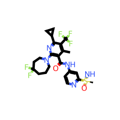 Cc1c(C(=O)Nc2ccnc([S@](C)(=N)=O)c2)c(N2CCCC(F)(F)CC2)nc(C2CC2)c1C(F)(F)F